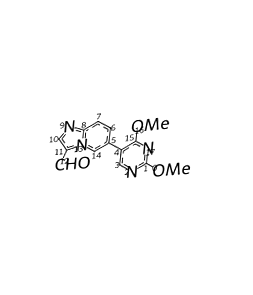 COc1ncc(-c2ccc3ncc(C=O)n3c2)c(OC)n1